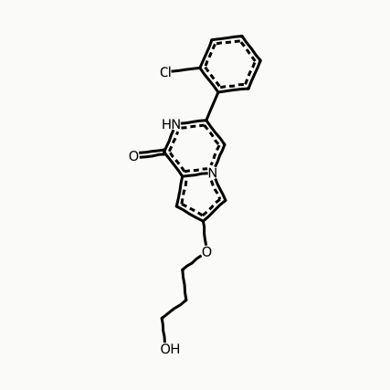 O=c1[nH]c(-c2ccccc2Cl)cn2cc(OCCCO)cc12